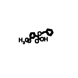 COc1cccc([C@@H](OCCc2ccccc2)C(=O)O)c1